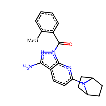 COc1ccccc1C(=O)n1nc(N)c2ccc(N3C4CCC3CC4)nc21